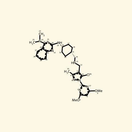 COc1cc(OC)nc(-n2nc(C)c(CNC[C@H]3CC[C@@H](Nc4nc(N(C)C)c5ccccc5n4)CC3)c2Cl)n1